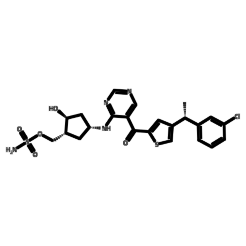 C[C@H](c1cccc(Cl)c1)c1csc(C(=O)c2cncnc2N[C@@H]2C[C@H](COS(N)(=O)=O)[C@@H](O)C2)c1